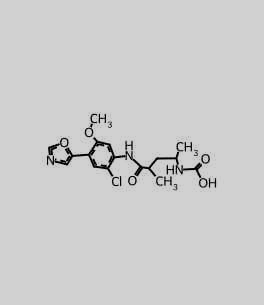 COc1cc(NC(=O)C(C)CC(C)NC(=O)O)c(Cl)cc1-c1cnco1